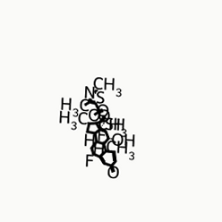 Cc1nc(C)c(C(=O)O[C@]2(C(=O)S)[C@H](C)C[C@H]3[C@@H]4C[C@H](F)C5=CC(=O)C=C[C@]5(C)[C@@]4(F)[C@@H](O)C[C@@]32C)s1